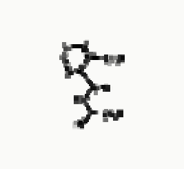 CCCC(NC(=O)c1ccccc1C(=O)O)C(=O)O